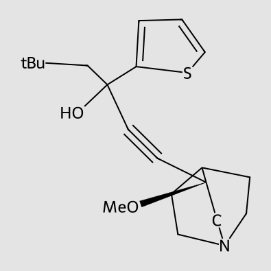 CO[C@]1(C#CC(O)(CC(C)(C)C)c2cccs2)CN2CCC1CC2